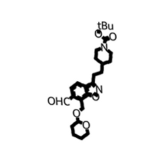 CC(C)(C)OC(=O)N1CCC(CCc2noc3c(COC4CCCCO4)c(C=O)ccc23)CC1